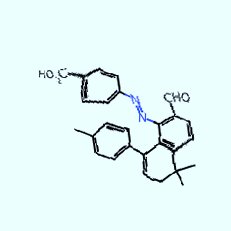 Cc1ccc(C2=CCC(C)(C)c3ccc(C=O)c(N=Nc4ccc(C(=O)O)cc4)c32)cc1